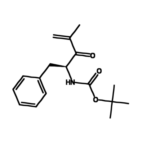 C=C(C)C(=O)[C@H](Cc1ccccc1)NC(=O)OC(C)(C)C